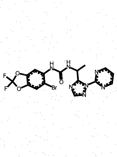 CC(NC(=O)Nc1cc2c(cc1Br)OC(F)(F)O2)c1ncnn1-c1ncccn1